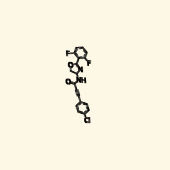 O=C(C#Cc1ccc(Cl)cc1)NC1COC(c2c(F)cccc2F)=N1